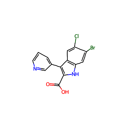 O=C(O)c1[nH]c2cc(Br)c(Cl)cc2c1-c1cccnc1